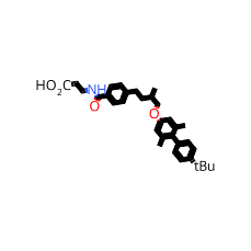 Cc1cc(OCC(C)CCc2ccc(C(=O)NCCC(=O)O)cc2)cc(C)c1-c1ccc(C(C)(C)C)cc1